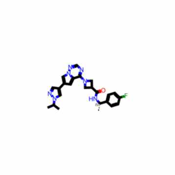 CC(C)n1cc(-c2cc3c(N4CC(C(=O)N[C@@H](C)c5ccc(F)cc5)C4)ncnn3c2)cn1